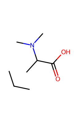 CC(C(=O)O)N(C)C.CCC